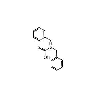 OC(=S)[SH](Cc1ccccc1)Cc1ccccc1